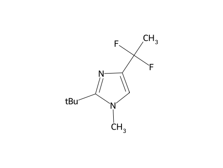 Cn1cc(C(C)(F)F)nc1C(C)(C)C